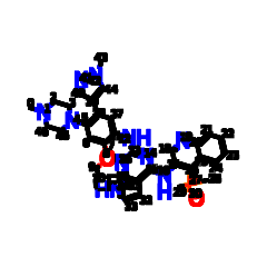 CN1CCN(c2cc(OCC(F)(F)F)c(Nc3nc(Nc4cnc5ccccc5c4P(C)(C)=O)c4cc[nH]c4n3)cc2-c2cnn(C)c2)CC1